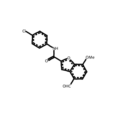 COc1ccc(C=O)c2cc(C(=O)Nc3ccc(Cl)cc3)oc12